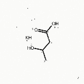 [CH2]C(O)CC(=O)O.[KH]